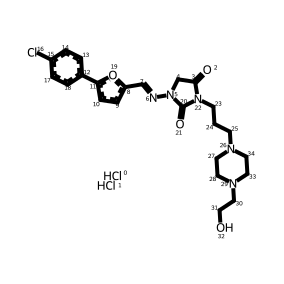 Cl.Cl.O=C1CN(N=Cc2ccc(-c3ccc(Cl)cc3)o2)C(=O)N1CCCN1CCN(CCO)CC1